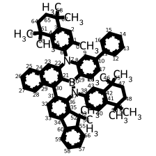 Cc1cc2c(cc1N1c3cc(-c4ccccc4)ccc3B3c4c1cc1ccccc1c4-c1ccc4c(c1N3c1ccc3c(c1)C(C)(C)CCC3(C)C)C(C)(C)c1ccccc1-4)C(C)(C)CCC2(C)C